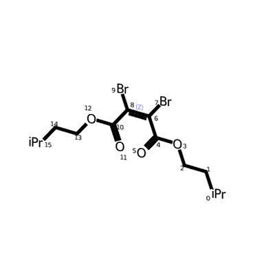 CC(C)CCOC(=O)/C(Br)=C(/Br)C(=O)OCCC(C)C